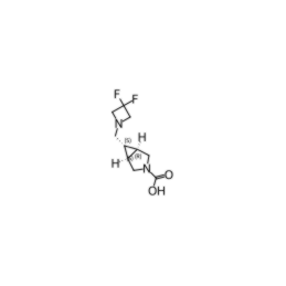 O=C(O)N1C[C@@H]2[C@@H](CN3CC(F)(F)C3)[C@@H]2C1